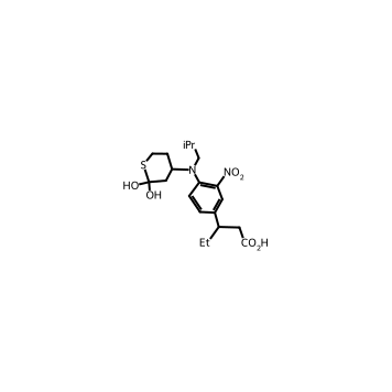 CCC(CC(=O)O)c1ccc(N(CC(C)C)C2CCSC(O)(O)C2)c([N+](=O)[O-])c1